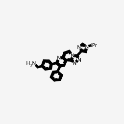 CC(C)n1cnc(-c2nnc3c4cc(-c5ccccc5)c(-c5ccc(CN)cc5)nc4ccn23)c1